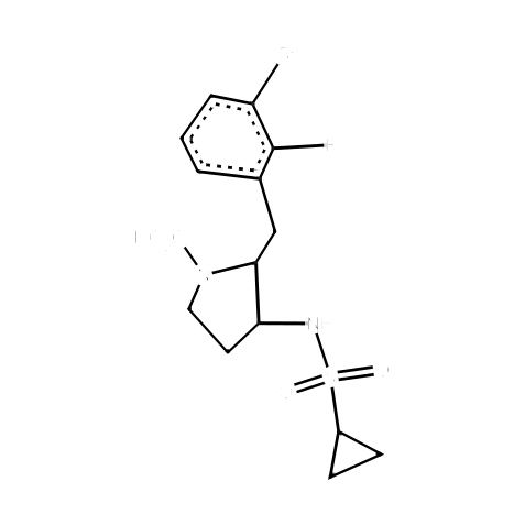 O=C(O)N1CCC(NS(=O)(=O)C2CC2)C1Cc1cccc(Br)c1F